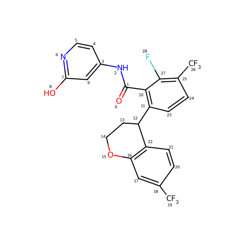 O=C(Nc1ccnc(O)c1)c1c(C2CCOc3cc(C(F)(F)F)ccc32)ccc(C(F)(F)F)c1F